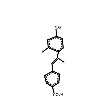 C/C(=C\c1ccc(C(=O)O)cc1)c1ccc(C(C)(C)C)cc1C